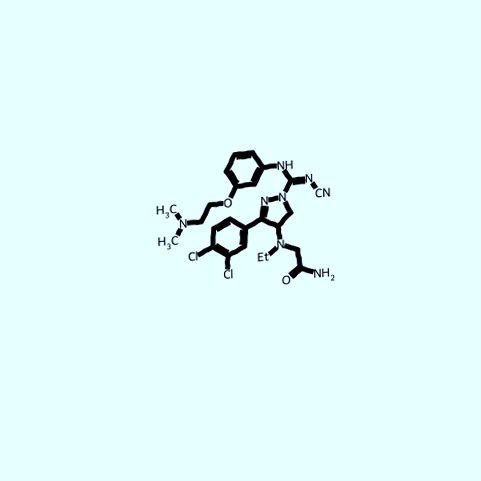 CCN(CC(N)=O)C1CN(C(=NC#N)Nc2cccc(OCCN(C)C)c2)N=C1c1ccc(Cl)c(Cl)c1